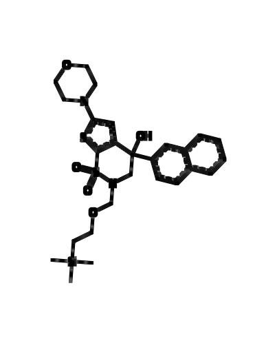 C[Si](C)(C)CCOCN1CC(O)(c2ccc3ccccc3c2)c2cc(N3CCOCC3)sc2S1(=O)=O